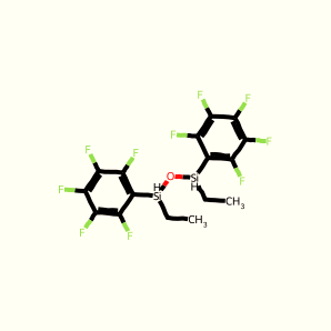 CC[SiH](O[SiH](CC)c1c(F)c(F)c(F)c(F)c1F)c1c(F)c(F)c(F)c(F)c1F